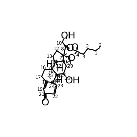 CCCCC(=O)O[C@]1(C(=O)CO)CC[C@H]2[C@@H]3CCC4=CC(=O)C=C[C@]4(C)[C@H]3C(O)C[C@@]21C